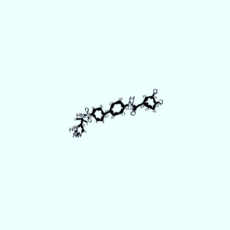 CC(C)(NS(=O)(=O)c1ccc(-c2ccc(NC(=O)c3ccc(Cl)c(Cl)c3)cc2)cc1)c1cnn[nH]1